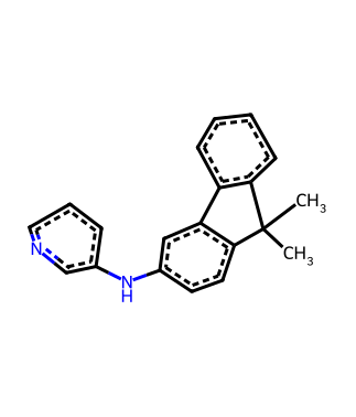 CC1(C)c2ccccc2-c2cc(Nc3cccnc3)ccc21